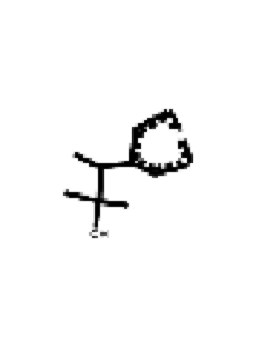 CCC(C)(O)C(C)c1ccccc1